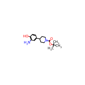 CC(C)(C)OC(=O)N1CCC(c2ccc(O)c(N)c2)CC1